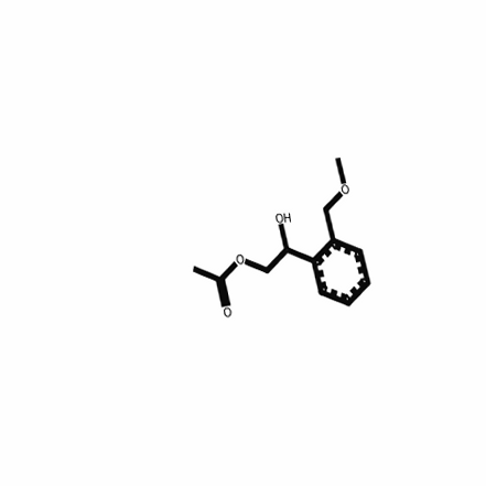 COCc1ccccc1C(O)COC(C)=O